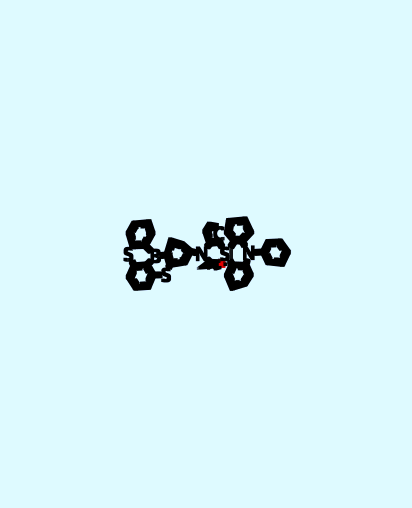 c1ccc(N2c3ccccc3[Si]3(c4ccccc42)c2ccccc2N(c2ccc4c(c2)Sc2cccc5c2B4c2ccccc2S5)c2ccccc23)cc1